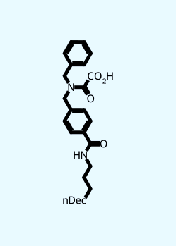 CCCCCCCCCCCCCNC(=O)c1ccc(CN(Cc2ccccc2)C(=O)C(=O)O)cc1